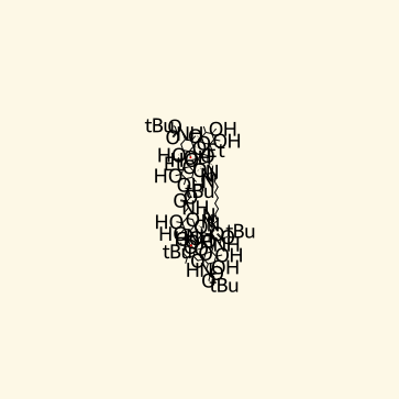 CCC1O[C@H](OC2C(NC(=O)OC(C)(C)C)C[C@@H](O)C(O)[C@H]2O[C@@H]2O[C@H](Cn3cc(CCCCCc4cn(C[C@H]5O[C@@H](O[C@H]6C(O[C@H]7OC(CNC(=O)OC(C)(C)C)C(O)[C@H](O)C7NC(=O)OC(C)(C)C)C(C)C[C@@H](C)C6O)C(O)[C@H]5O[C@H]5O[C@@H](CNC(=O)OC(C)(C)C)C(O)C(O)C5NC(=O)OC(C)(C)C)nn4)nn3)[C@H](O[C@H]3O[C@@H](CC)C(O)C(O)C3C)C2O)C(C)[C@@H](O)C1O